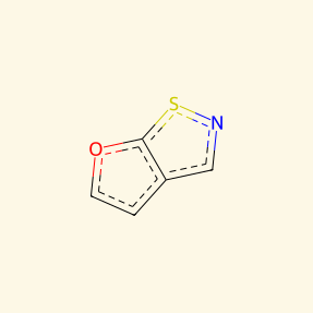 c1cc2cnsc2o1